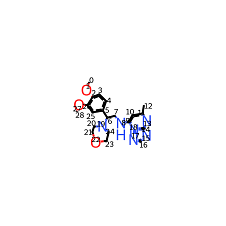 COc1ccc(C(CNc2cc(C)nc3ncnn23)N2CCOCC2)cc1OC